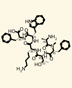 C[C@H](O)[C@@H](NC(=O)[C@@H](Cc1ccccc1)N(C)C(=O)[C@@H](C)N)C(=O)N[C@H](CCCCN)C(=O)N[C@@H](Cc1c[nH]c2ccccc12)C(=O)N[C@H](Cc1ccccc1)C(=O)O